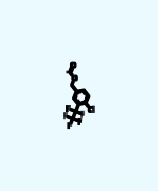 O=[C]OCc1ccc(Cl)c(C(F)(F)C(F)(F)F)c1